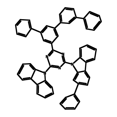 c1ccc(-c2cccc(-c3cc(-c4ccccc4)cc(-c4nc(-n5c6ccccc6c6ccccc65)nc(-n5c6ccccc6c6ccc(-c7ccccc7)cc65)n4)c3)c2)cc1